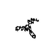 Nc1ncc(-c2cc(OCc3cccnc3)nc(N3CCOCC3)n2)cn1